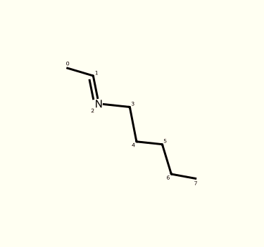 C/C=N/CCCCC